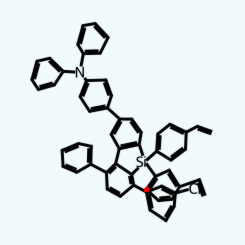 C=Cc1ccc([Si]2(c3cccc(C=C)c3)c3ccc(-c4ccc(N(c5ccccc5)c5ccccc5)cc4)cc3-c3c(-c4ccccc4)ccc(-c4cccc(Cl)c4)c32)cc1